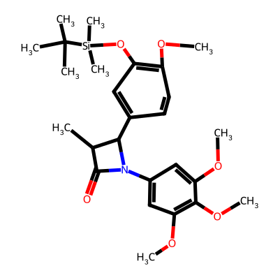 COc1ccc(C2C(C)C(=O)N2c2cc(OC)c(OC)c(OC)c2)cc1O[Si](C)(C)C(C)(C)C